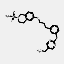 CCc1cnc(Oc2cccc(CCCOc3ccc4c(c3)CCN(S(C)(=O)=O)C4)c2)nc1